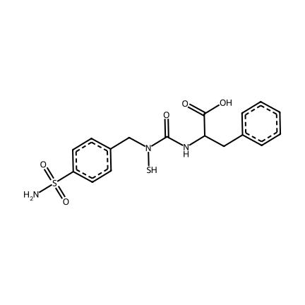 NS(=O)(=O)c1ccc(CN(S)C(=O)NC(Cc2ccccc2)C(=O)O)cc1